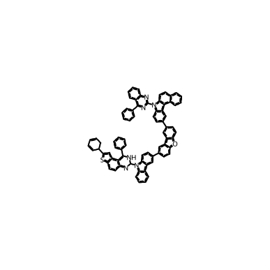 C1=CCC(c2cc3c4c(ccc3s2)=NC(n2c3ccccc3c3cc(-c5ccc6oc7ccc(-c8ccc9c(c8)c8c%10ccccc%10ccc8n9-c8nc(-c9ccccc9)c9ccccc9n8)cc7c6c5)ccc32)NC=4c2ccccc2)C=C1